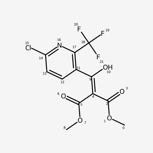 COC(=O)C(C(=O)OC)=C(O)c1ccc(Cl)nc1C(F)(F)F